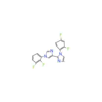 Fc1ccc(-n2c[c]nc2-c2cn(-c3cccc(F)c3F)cn2)c(F)c1